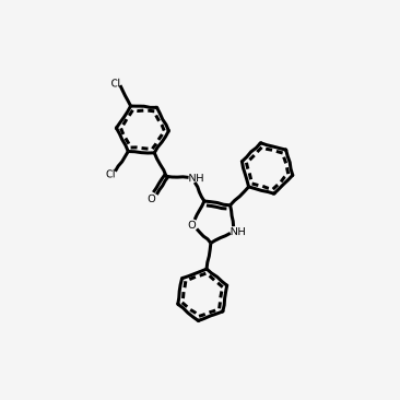 O=C(NC1=C(c2ccccc2)NC(c2ccccc2)O1)c1ccc(Cl)cc1Cl